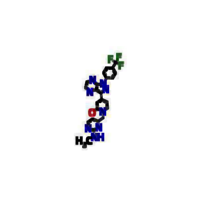 CNc1nccc(Cn2ccc(-c3nn(-c4ccc(C(F)(F)F)cc4)c4nccnc34)cc2=O)n1